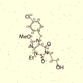 CCN1c2nc(OC)n(Cc3ccc(Cl)cc3)c2C(=O)N(CCCO)[S+]1[O-]